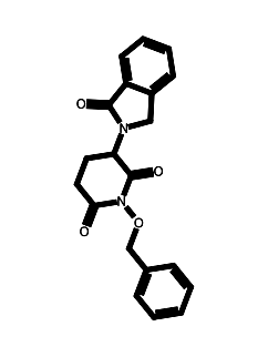 O=C1CCC(N2Cc3ccccc3C2=O)C(=O)N1OCc1ccccc1